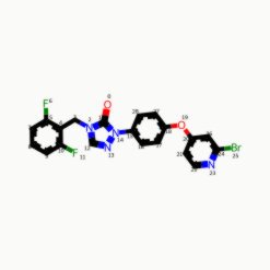 O=c1n(Cc2c(F)cccc2F)cnn1-c1ccc(Oc2ccnc(Br)c2)cc1